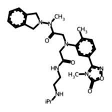 Cc1ccc(-c2noc(=O)n2C)cc1N(CC(=O)NCCNC(C)C)CC(=O)N(C)N1Cc2ccccc2C1